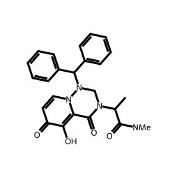 CNC(=O)C(C)N1CN(C(c2ccccc2)c2ccccc2)n2ccc(=O)c(O)c2C1=O